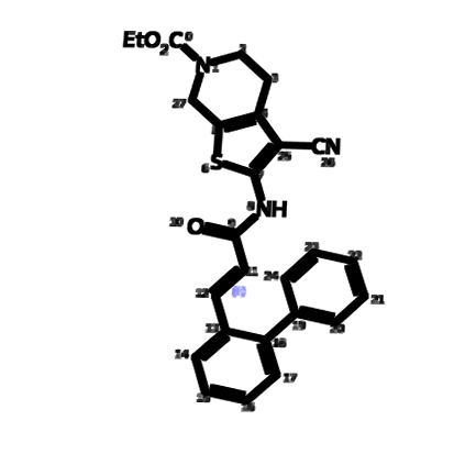 CCOC(=O)N1CCc2c(sc(NC(=O)/C=C/c3ccccc3-c3ccccc3)c2C#N)C1